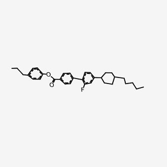 CCCCCC1CCC(c2ccc(-c3ccc(C(=O)Oc4ccc(CCC)cc4)cc3)c(F)c2)CC1